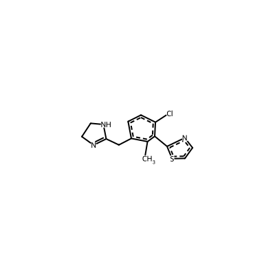 Cc1c(CC2=NCCN2)ccc(Cl)c1-c1nccs1